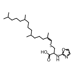 CC(=CSCC(Nc1ncco1)C(=O)O)CCCC(C)CCCC(C)CCCC(C)C